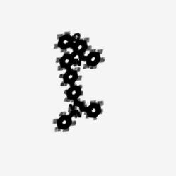 c1ccc(-c2cc(-c3ccc(-c4ccc(-c5cccc6c5nc(-c5ccccc5)c5ccc7oc8ccccc8c7c56)cc4)cc3)nc(-c3ccccc3)n2)cc1